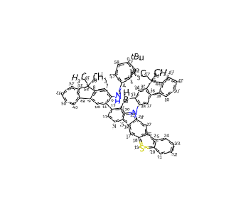 CC(C)(C)c1ccc(Nc2cc3c(cc2-c2ccc4c5cc6sc7ccccc7c6cc5n5c4c2Bc2cc4c(cc2-5)-c2ccccc2C4(C)C)-c2ccccc2C3(C)C)cc1